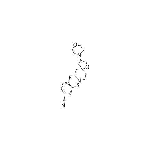 N#Cc1ccc(F)c(SN2CCC3(CC2)CC(N2CCOCC2)CO3)c1